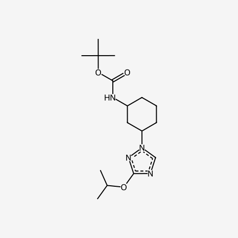 CC(C)Oc1ncn(C2CCCC(NC(=O)OC(C)(C)C)C2)n1